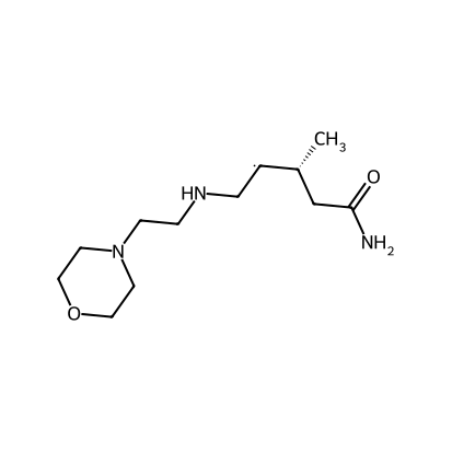 C[C@@H]([CH]CNCCN1CCOCC1)CC(N)=O